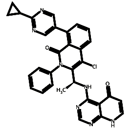 C[C@H](Nc1ncnc2[nH]ccc(=O)c12)c1c(Cl)c2cccc(-c3cnc(C4CC4)nc3)c2c(=O)n1-c1ccccc1